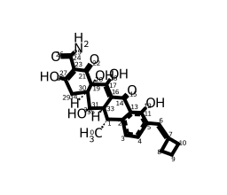 C[C@H]1c2ccc(C=C3CCC3)c(O)c2C(=O)C2=C(O)[C@]3(O)C(=O)C(C(N)=O)=C(O)C[C@@H]3[C@@H](O)[C@@H]21